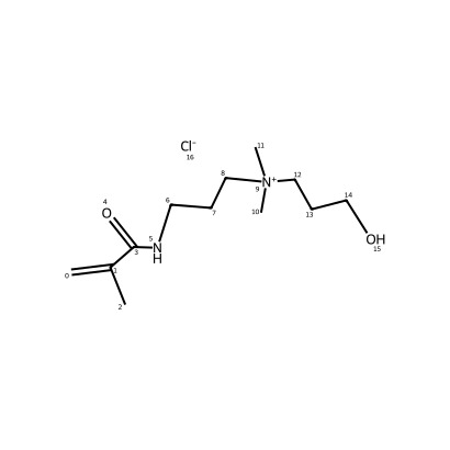 C=C(C)C(=O)NCCC[N+](C)(C)CCCO.[Cl-]